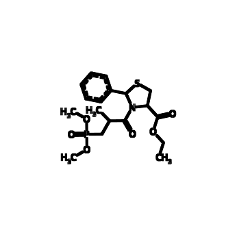 CCOC(=O)C1CSC(c2ccccc2)N1C(=O)C(C)CP(=O)(OC)OC